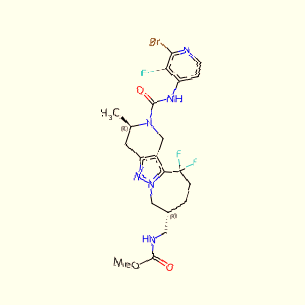 COC(=O)NC[C@H]1CCC(F)(F)c2c3c(nn2C1)C[C@@H](C)N(C(=O)Nc1ccnc(Br)c1F)C3